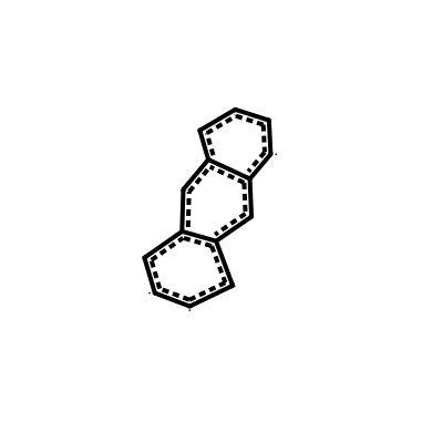 [c]1[c]cc2cc3ccc[c]c3cc2c1